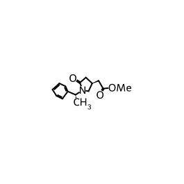 COC(=O)C[C@@H]1CC(=O)N([C@H](C)c2ccccc2)C1